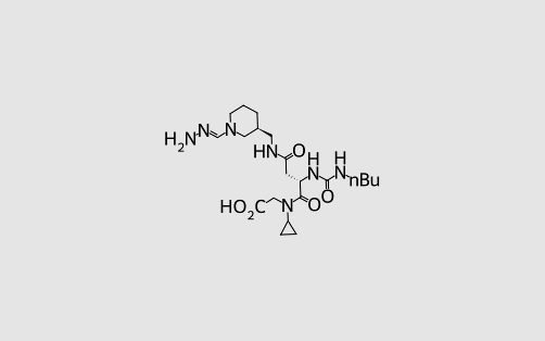 CCCCNC(=O)N[C@@H](CC(=O)NC[C@@H]1CCCN(C=NN)C1)C(=O)N(CC(=O)O)C1CC1